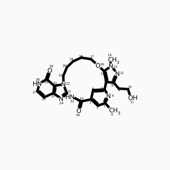 Cc1cc2cc(n1)-c1c(CCO)nn(C)c1OCCCCCn1c(nc3cc[nH]c(=O)c31)NC2=O